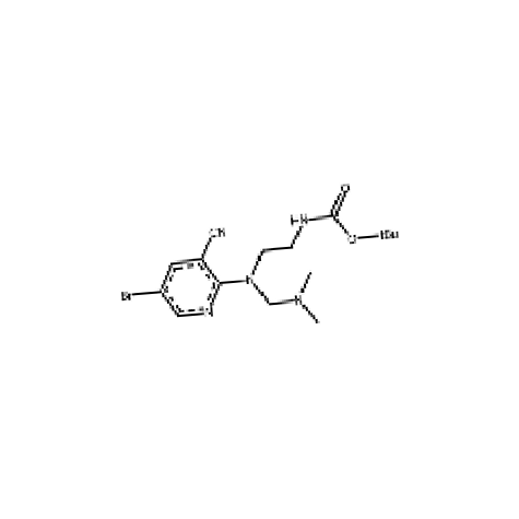 CN(C)CN(CCNC(=O)OC(C)(C)C)c1ncc(Br)cc1C#N